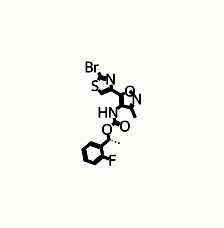 Cc1noc(-c2csc(Br)n2)c1NC(=O)O[C@H](C)c1ccccc1F